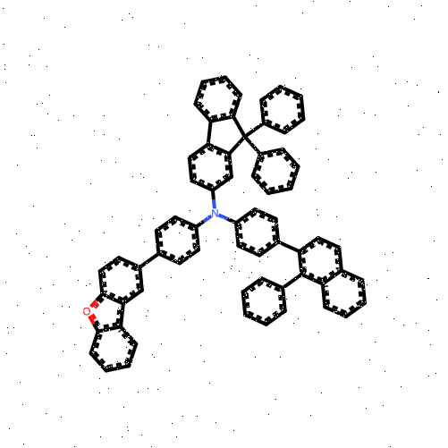 c1ccc(-c2c(-c3ccc(N(c4ccc(-c5ccc6oc7ccccc7c6c5)cc4)c4ccc5c(c4)C(c4ccccc4)(c4ccccc4)c4ccccc4-5)cc3)ccc3ccccc23)cc1